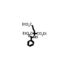 CCOC(=O)CCCC(NC(=O)c1ccccc1)(C(=O)OCC)C(=O)OCC